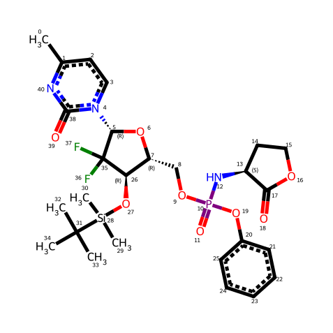 Cc1ccn([C@@H]2O[C@H](COP(=O)(N[C@H]3CCOC3=O)Oc3ccccc3)[C@@H](O[Si](C)(C)C(C)(C)C)C2(F)F)c(=O)n1